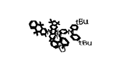 Cc1cc2c3c(c1)N(c1cccc4oc5ccccc5c14)c1cc(N(c4ccc(C(C)(C)C)cc4)c4ccc(C(C)(C)C)cc4)ccc1B3c1cc3c(cc1N2c1cc2c(cc1C)C(C)(C)c1ccccc1C2(C)C)C(C)(C)CC3(C)C